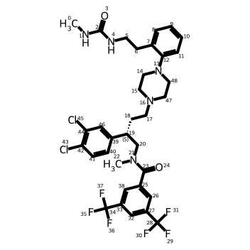 CNC(=O)NCCc1ccccc1N1CCN(CC[C@H](CN(C)C(=O)c2cc(C(F)(F)F)cc(C(F)(F)F)c2)c2ccc(Cl)c(Cl)c2)CC1